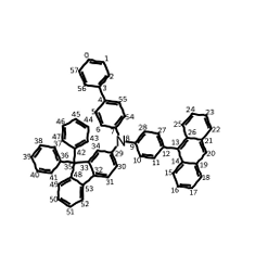 c1ccc(-c2ccc(N(c3ccc(-c4c5ccccc5cc5ccccc45)cc3)c3ccc4c(c3)C(c3ccccc3)(c3ccccc3)c3ccccc3-4)cc2)cc1